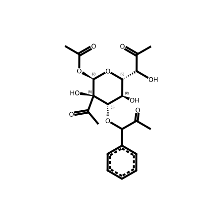 CC(=O)O[C@H]1O[C@H](C(O)C(C)=O)[C@@H](O)[C@H](OC(C(C)=O)c2ccccc2)[C@]1(O)C(C)=O